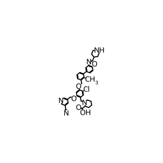 Cc1c(COc2cc(OCc3cncc(C#N)c3)c(CN3CCCCC3C(=O)O)cc2Cl)cccc1-c1ccc2oc(C3CCNCC3)nc2c1